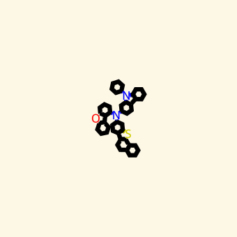 c1ccc(-n2c3ccccc3c3ccc(N(c4ccc5c(c4)sc4c6ccccc6ccc54)c4cccc5oc6ccccc6c45)cc32)cc1